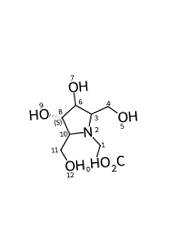 O=C(O)CN1C(CO)C(O)[C@@H](O)C1CO